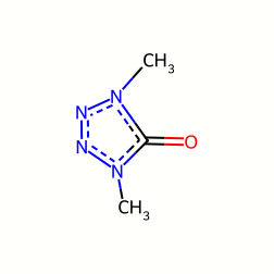 Cn1nnn(C)c1=O